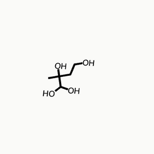 CC(O)(CCO)C(O)O